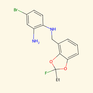 CCC1(F)Oc2cccc(CNc3ccc(Br)cc3N)c2O1